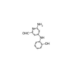 Nc1cc(Nc2ccccc2O)cc(C=O)n1